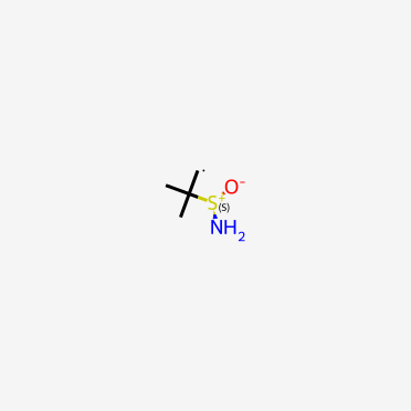 [CH2]C(C)(C)[S@+](N)[O-]